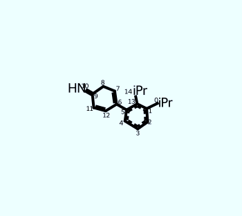 CC(C)c1cccc(C2=CCC(=N)C=C2)c1C(C)C